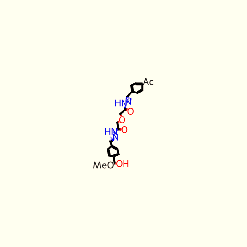 COC(O)c1ccc(/C=N/NC(=O)COCC(=O)N/N=C/c2ccc(C(C)=O)cc2)cc1